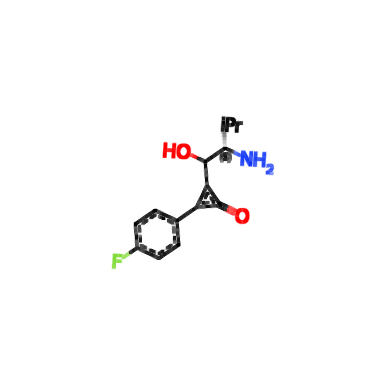 CC(C)[C@H](N)C(O)c1c(-c2ccc(F)cc2)c1=O